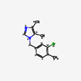 Cc1ccc(Cn2cnc(C#N)c2C#N)cc1Br